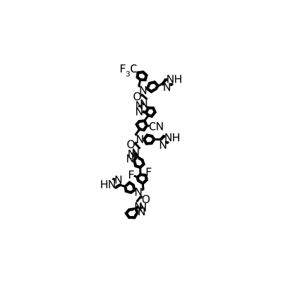 N#Cc1cc(CN(C(=O)Cn2nnc3cc(-c4c(F)cc(CN(C(=O)Cn5nnc6ccccc65)c5ccc(-c6c[nH]cn6)cc5)cc4F)ccc32)c2ccc(-c3c[nH]cn3)cc2)ccc1-c1cccc2c1nnn2CC(=O)N(Cc1cccc(C(F)(F)F)c1)c1ccc(-c2c[nH]cn2)cc1